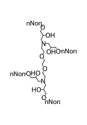 CCCCCCCCCOCC(O)CN(CCOCCOCCN(CC(O)COCCCCCCCCC)CC(O)COCCCCCCCCC)CC(O)COCCCCCCCCC